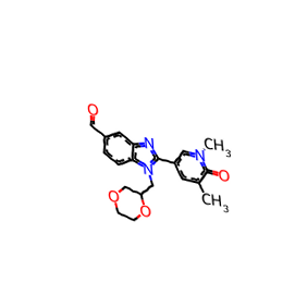 Cc1cc(-c2nc3cc(C=O)ccc3n2CC2COCCO2)cn(C)c1=O